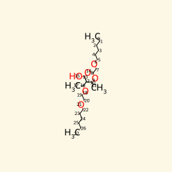 CCCCCCOCCOC(C)C(C(=O)O)C(C)OCCOCCCCCC